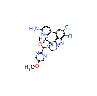 COc1cnc(C(=O)N2CCn3nc4c(Cl)c(Cl)cc(-c5ccc(N)nc5)c4c3[C@@H]2C)nc1